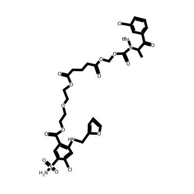 CC(C(=O)c1cccc(Cl)c1)N(C(=O)OCOC(=O)CCCC(=O)OCCOCCOC(=O)c1cc(S(N)(=O)=O)c(Cl)cc1NCc1ccco1)C(C)(C)C